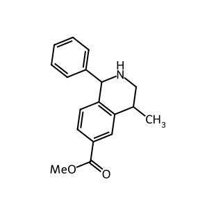 COC(=O)c1ccc2c(c1)C(C)CNC2c1ccccc1